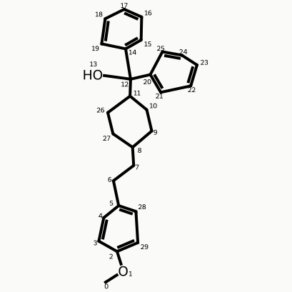 COc1ccc(CCC2CCC(C(O)(c3ccccc3)c3ccccc3)CC2)cc1